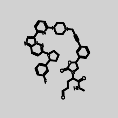 CNC(=O)C(CCC=O)N1CC(c2cccc(C#CCN3CCN(c4cccc(-c5cnc6ccc(N7CCCC7c7cccc(F)c7)nn56)n4)CC3)c2)OC1=O